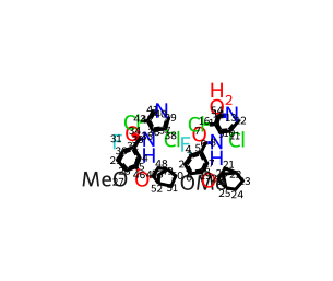 COc1cc(F)c(C(=O)Nc2c(Cl)cncc2Cl)cc1OC1CC2CCC1C2.COc1cc(F)c(C(=O)Nc2c(Cl)cncc2Cl)cc1OC1CC2CCC1C2.O